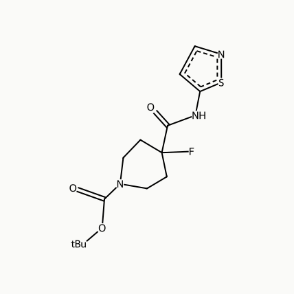 CC(C)(C)OC(=O)N1CCC(F)(C(=O)Nc2ccns2)CC1